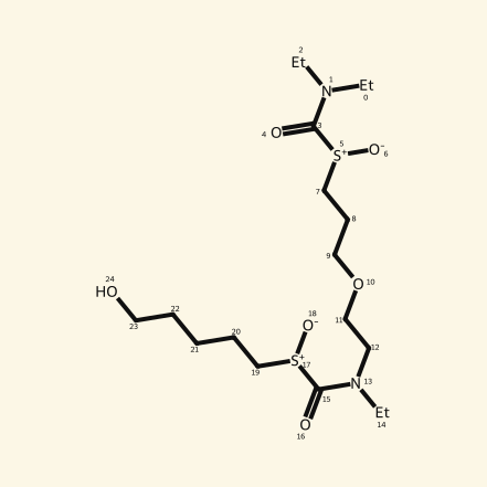 CCN(CC)C(=O)[S+]([O-])CCCOCCN(CC)C(=O)[S+]([O-])CCCCCO